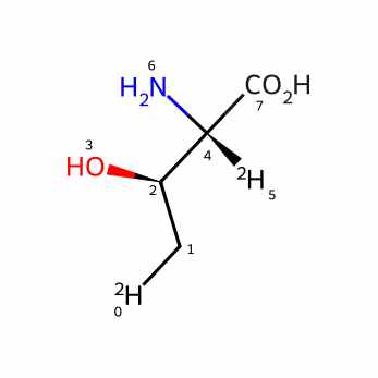 [2H]C[C@@H](O)[C@]([2H])(N)C(=O)O